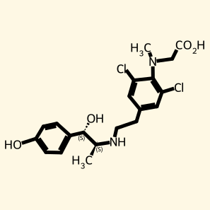 C[C@H](NCCc1cc(Cl)c(N(C)CC(=O)O)c(Cl)c1)[C@@H](O)c1ccc(O)cc1